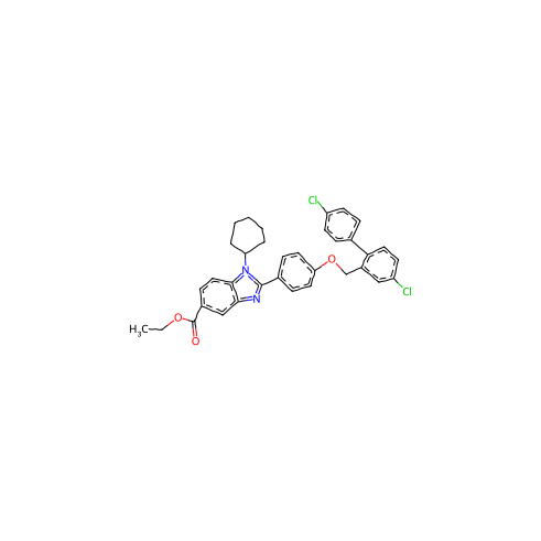 CCOC(=O)c1ccc2c(c1)nc(-c1ccc(OCc3cc(Cl)ccc3-c3ccc(Cl)cc3)cc1)n2C1CCCCC1